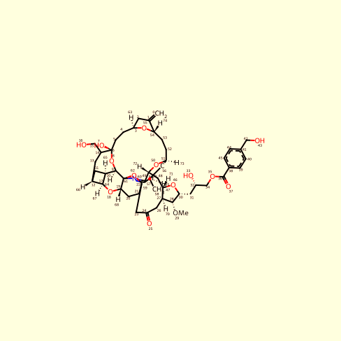 C=C1C[C@@H]2CC[C@]3(O)O[C@@H]4[C@@H]5C[C@@H](CC3CO)[C@@H]5O[C@H]3CC[C@@H]5CC(=O)C[C@@H]6[C@@H](OC)[C@@H](C[C@H](O)COC(=O)c7ccc(CO)cc7)O[C@H]6C[C@H]6O[C@@H](CC[C@@H]1O2)C[C@@H](C)/C6=N/[C@]34O5